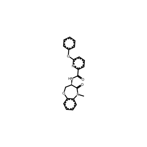 CN1C(=O)[C@H](NC(=O)c2cccc(Oc3ccccc3)n2)COc2ccccc21